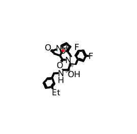 CCc1cccc(CNC[C@@H](O)[C@H](Cc2cc(F)cc(F)c2)N(Cc2ccco2)C(=O)C2CNC(=O)C2)c1